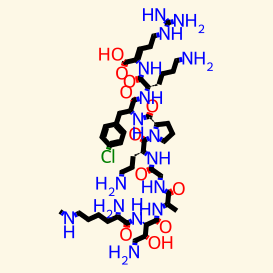 CNCCCCC(N)C(=O)N[C@H](C(=O)NC(C)C(=O)NCC(=O)N[C@H](CCCN)C(=O)N1CCC[C@H]1C(=O)NC(Cc1ccc(Cl)cc1)C(=O)N[C@@H](CCCCN)C(=O)N/C(=C\CCNC(=N)N)C(=O)O)C(O)CN